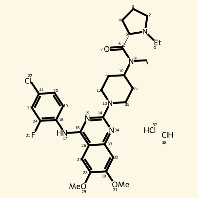 CCN1CCC[C@H]1C(=O)N(C)C1CCN(c2nc(Nc3ccc(Cl)cc3F)c3cc(OC)c(OC)cc3n2)CC1.Cl.Cl